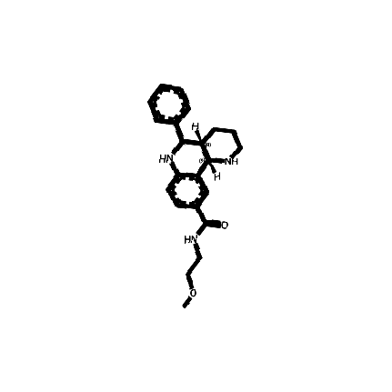 COCCNC(=O)c1ccc2c(c1)[C@H]1NCCC[C@H]1C(c1ccccc1)N2